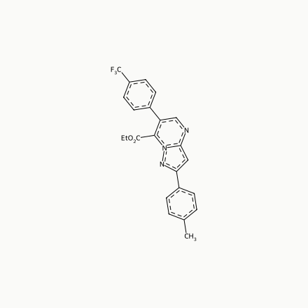 CCOC(=O)c1c(-c2ccc(C(F)(F)F)cc2)cnc2cc(-c3ccc(C)cc3)nn12